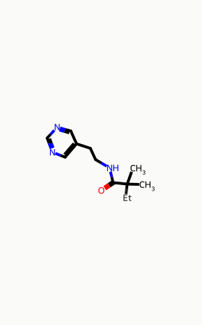 CCC(C)(C)C(=O)NCCc1cncnc1